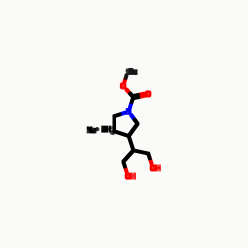 CC(C)(C)OC(=O)N1CCC(C(CO)CO)C1.[BH4-].[Na+]